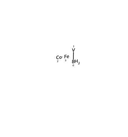 [BH2][V].[Co].[Fe]